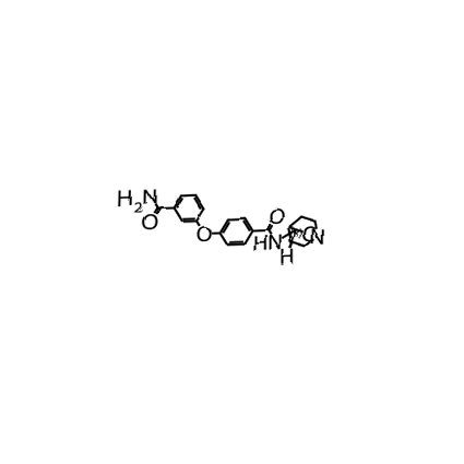 NC(=O)c1cccc(Oc2ccc(C(=O)N[C@H]3CN4CCC3CC4)cc2)c1